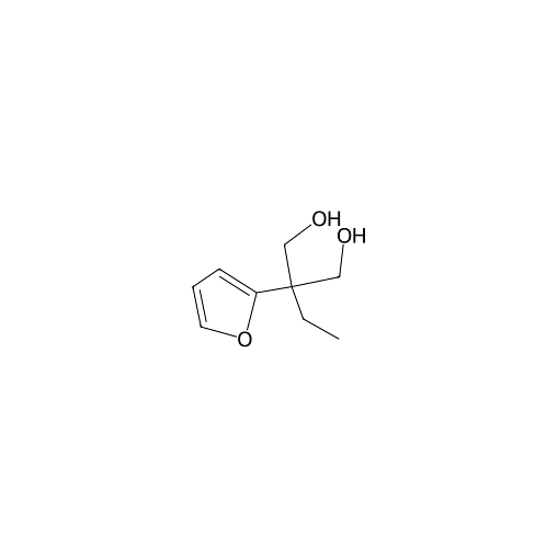 CCC(CO)(CO)c1ccco1